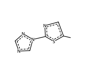 Cc1cnc(-n2cncn2)s1